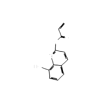 C=CC(=O)Oc1ccc2cccc(O)c2n1